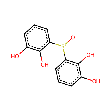 [O-][S+](c1cccc(O)c1O)c1cccc(O)c1O